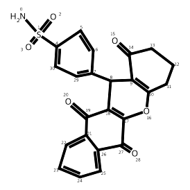 NS(=O)(=O)c1ccc(C2C3=C(CCCC3=O)OC3=C2C(=O)c2ccccc2C3=O)cc1